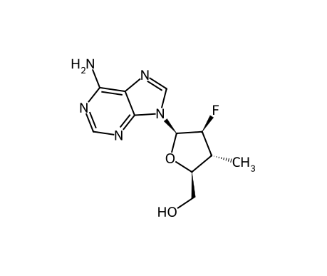 C[C@H]1[C@H](F)[C@H](n2cnc3c(N)ncnc32)O[C@@H]1CO